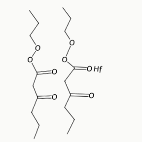 CCCOOC(=O)CC(=O)CCC.CCCOOC(=O)CC(=O)CCC.[Hf]